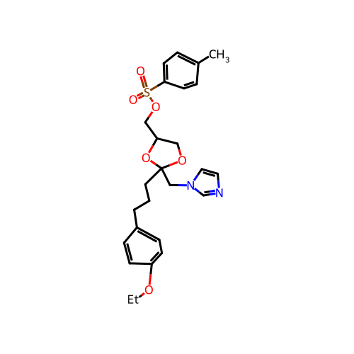 CCOc1ccc(CCCC2(Cn3ccnc3)OCC(COS(=O)(=O)c3ccc(C)cc3)O2)cc1